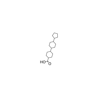 O=C(O)C1CCC(C2CCC(C3CCCC3)CC2)CC1